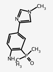 Cn1cnc(-c2ccc(N)c(P(C)(C)=O)c2)c1